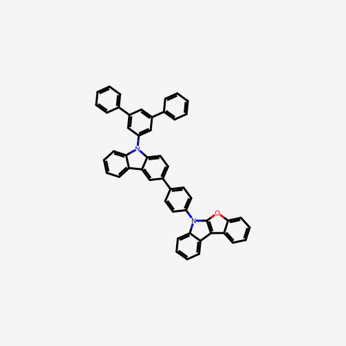 c1ccc(-c2cc(-c3ccccc3)cc(-n3c4ccccc4c4cc(-c5ccc(-n6c7ccccc7c7c8ccccc8oc76)cc5)ccc43)c2)cc1